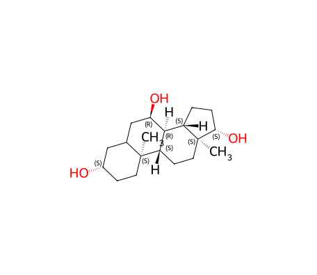 C[C@]12CC[C@H]3[C@@H]([C@H](O)CC4C[C@@H](O)CC[C@@]43C)[C@@H]1CC[C@@H]2O